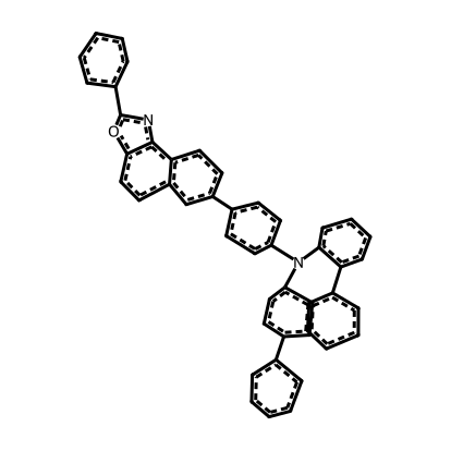 c1ccc(-c2ccc(N(c3ccc(-c4ccc5c(ccc6oc(-c7ccccc7)nc65)c4)cc3)c3ccccc3-c3ccccc3)cc2)cc1